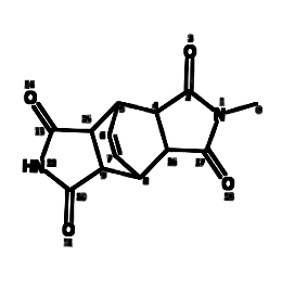 CN1C(=O)C2C3C=CC(C4C(=O)NC(=O)C34)C2C1=O